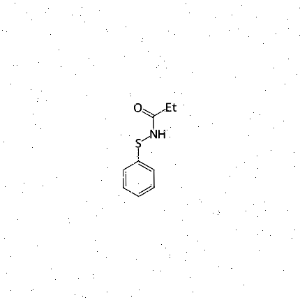 CCC(=O)NSc1ccccc1